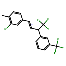 Cc1ccc(/C=C/C(c2cccc(C(F)(F)F)c2)C(F)(F)F)cc1Br